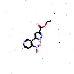 CCOC(=O)c1cc(-c2cnccc2[N+](=O)[O-])[nH]n1